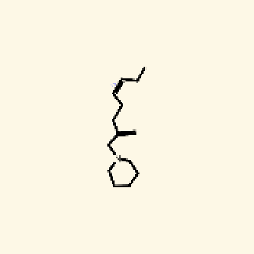 C=C(CC/C=C\CC)CN1CCCCC1